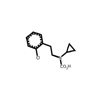 O=C(O)N(CCc1ccccc1Cl)C1CC1